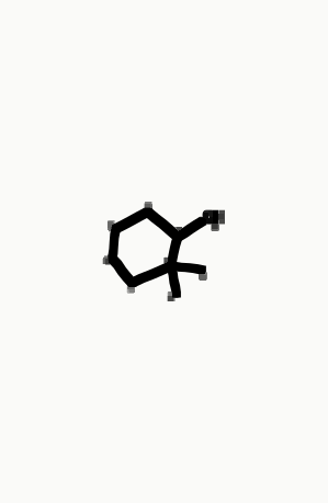 CC1(C)CC[CH]CC1O